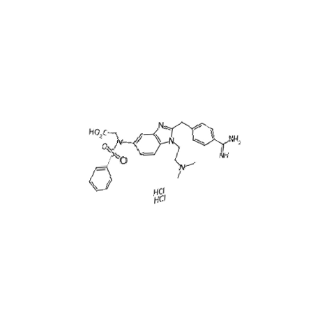 CN(C)CCn1c(Cc2ccc(C(=N)N)cc2)nc2cc(N(CC(=O)O)S(=O)(=O)c3ccccc3)ccc21.Cl.Cl